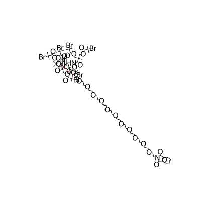 CC(C)(Br)C(=O)OCC(C)(COC(=O)C(C)(C)Br)C(=O)NCC(CNC(=O)C(C)(COC(=O)C(C)(C)Br)COC(=O)C(C)(C)Br)(CNC(=O)C(C)(COC(=O)C(C)(C)Br)COC(=O)C(C)(C)Br)COCCOCCOCCOCCOCCOCCOCCOCCOCCOCCOCCOCCN1C(=O)C2C3C=CC(O3)C2C1=O